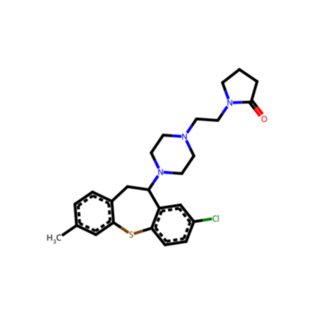 Cc1ccc2c(c1)Sc1ccc(Cl)cc1C(N1CCN(CCN3CCCC3=O)CC1)C2